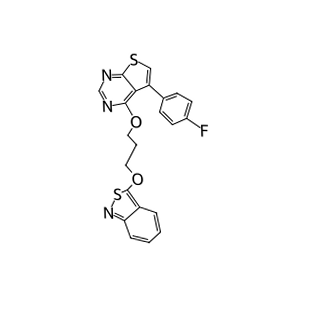 Fc1ccc(-c2csc3ncnc(OCCCOc4snc5ccccc45)c23)cc1